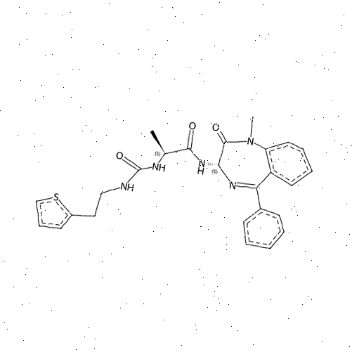 C[C@H](NC(=O)NCCc1cccs1)C(=O)N[C@H]1N=C(c2ccccc2)c2ccccc2N(C)C1=O